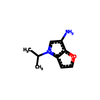 CC(C)n1cc(N)c2occc21